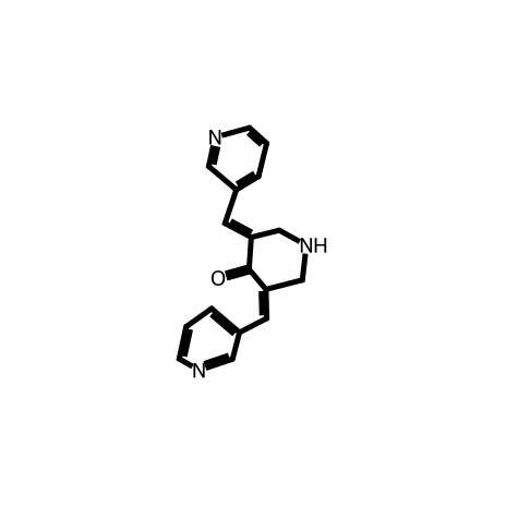 O=C1C(=Cc2cccnc2)CNCC1=Cc1cccnc1